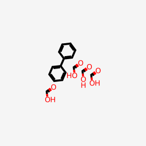 O=CO.O=CO.O=CO.O=CO.c1ccc(-c2ccccc2)cc1